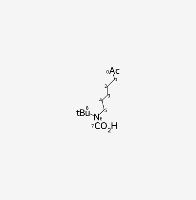 CC(=O)CCCCCN(C(=O)O)C(C)(C)C